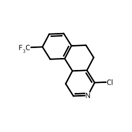 FC(F)(F)C1C=CC2=C(C1)C1CC=NC(Cl)=C1CC2